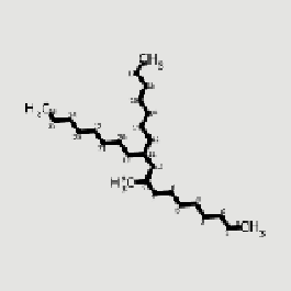 CCCCCCCCC(C)CC(CCCCCCC)CCCCCCCC